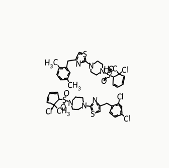 CC1(Cl)C=CC=CC1S(=O)(=O)N1CCN(c2nc(Cc3ccc(Cl)cc3Cl)cs2)CC1.Cc1ccc(C)c(Cc2csc(N3CCN(S(=O)(=O)C4C=CC=CC4(C)Cl)CC3)n2)c1